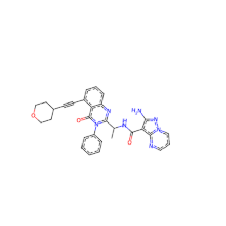 CC(NC(=O)c1c(N)nn2cccnc12)c1nc2cccc(C#CC3CCOCC3)c2c(=O)n1-c1ccccc1